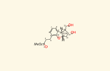 COC(=O)CCc1cccc2c1O[C@H]1C[C@@H](O)C(CO)[C@@H]21